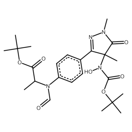 CC(C(=O)OC(C)(C)C)N(C=O)c1ccc(C2=NN(C)C(=O)C2(C)N(O)C(=O)OC(C)(C)C)cc1